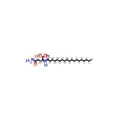 CCCCCCCCCCCCCCCCCCC(=O)N[C@@H](CCC(N)=O)C(=O)O